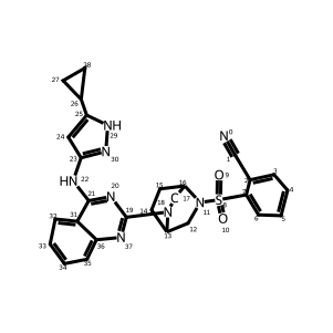 N#Cc1ccccc1S(=O)(=O)N1CC2CCC1CN2c1nc(Nc2cc(C3CC3)[nH]n2)c2ccccc2n1